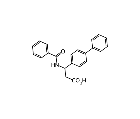 O=C(O)CC(NC(=O)c1ccccc1)c1ccc(-c2ccccc2)cc1